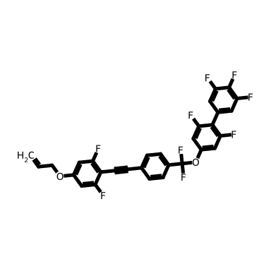 C=CCOc1cc(F)c(C#Cc2ccc(C(F)(F)Oc3cc(F)c(-c4cc(F)c(F)c(F)c4)c(F)c3)cc2)c(F)c1